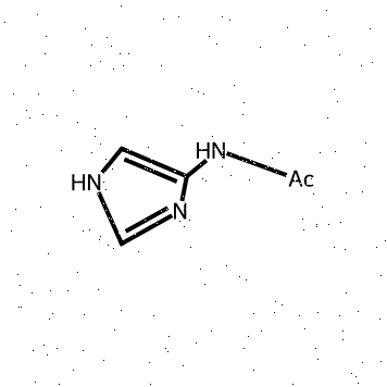 CC(=O)Nc1c[nH]cn1